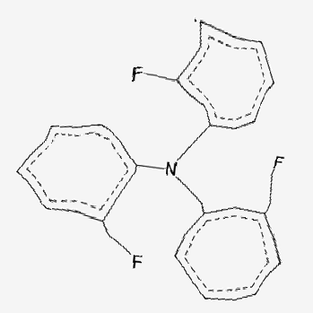 Fc1[c]cccc1N(c1ccccc1F)c1ccccc1F